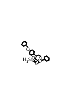 CC(C)C1(O[SiH3])C(c2ccc(OCc3ccccc3)cc2)C=CN([C@H](C)c2ccccc2)C1(C(C)C)C(C)C